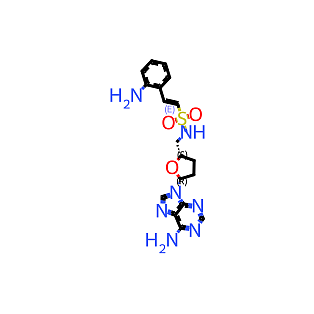 Nc1ccccc1/C=C/S(=O)(=O)NC[C@@H]1CC[C@H](n2cnc3c(N)ncnc32)O1